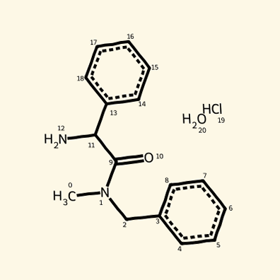 CN(Cc1ccccc1)C(=O)C(N)c1ccccc1.Cl.O